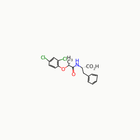 CC(Oc1ccc(Cl)cc1Cl)C(=O)N[C@@H](Cc1ccccc1)C(=O)O